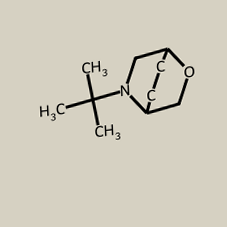 CC(C)(C)N1CC2CCC1CO2